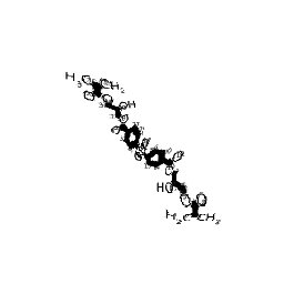 C=C(C)C(=O)OCC(O)COC(=O)c1ccc(S(=O)(=O)c2ccc(C(=O)OCC(O)COC(=O)C(=C)C)cc2)cc1